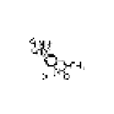 Cc1cc2cc(S(=O)(=O)NC3(C)CC3)ccc2n(CC2CC2)c1=O